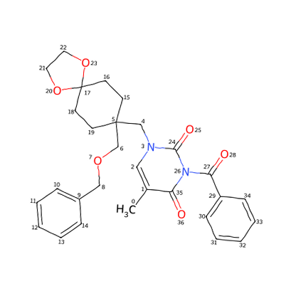 Cc1cn(CC2(COCc3ccccc3)CCC3(CC2)OCCO3)c(=O)n(C(=O)c2ccccc2)c1=O